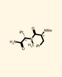 CN[C@@H](CC(C)C)C(=O)N(C)[C@H](C(N)=O)C(C)C